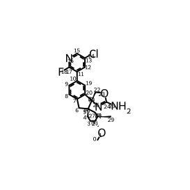 CO[C@@H]1CC[C@]2(Cc3ccc(-c4cc(Cl)cnc4F)cc3[C@@]23COC(N)=N3)C[C@H]1C